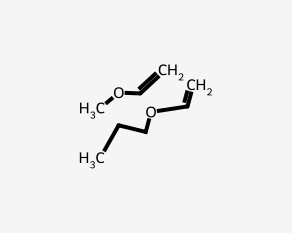 C=COC.C=COCCC